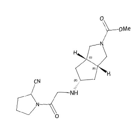 COC(=O)N1C[C@H]2C[C@@H](NCC(=O)N3CCCC3C#N)C[C@H]2C1